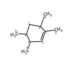 CC1=CC(C)C(C)CC1C